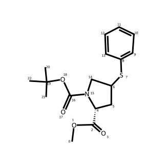 COC(=O)[C@H]1CC(Sc2ccccc2)CN1C(=O)OC(C)(C)C